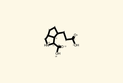 O=C(O)CCC1CCC2CNC(C(=O)O)C12